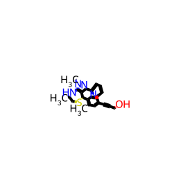 Cc1cc(C#CCO)ccc1C1SCC(C)Nc2c1c(-c1ccccn1)nn2C